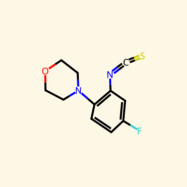 Fc1ccc(N2CCOCC2)c(N=C=S)c1